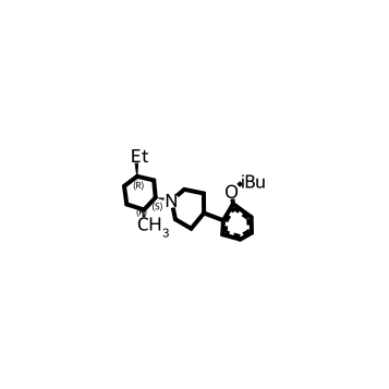 CCC(C)Oc1ccccc1C1CCN([C@H]2C[C@H](CC)CC[C@H]2C)CC1